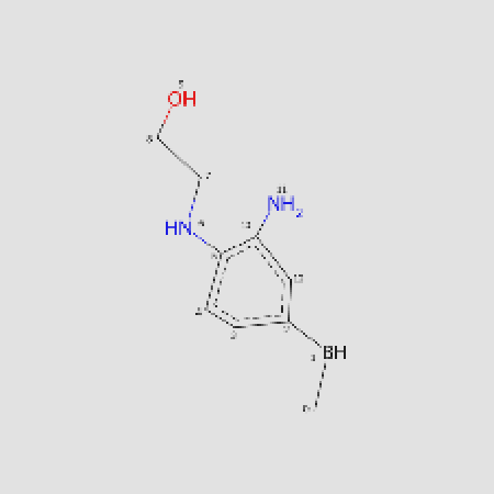 CBc1ccc(NCCO)c(N)c1